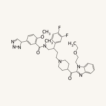 CCOCCn1c(C(=O)C2CCN(CCC(CN(C)C(=O)c3cc(C4C=NN=N4)ccc3OC)c3ccc(F)c(F)c3)CC2)nc2ccccc21